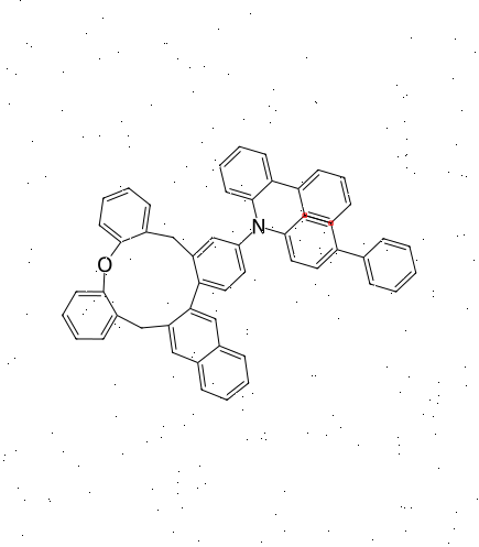 c1ccc(-c2ccc(N(c3ccc4c(c3)Cc3ccccc3Oc3ccccc3Cc3cc5ccccc5cc3-4)c3ccccc3-c3ccccc3)cc2)cc1